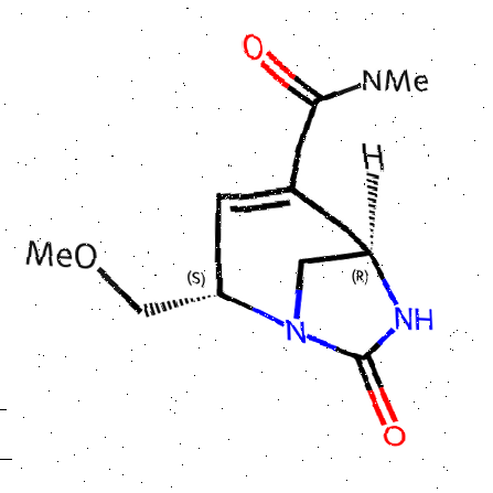 CNC(=O)C1=C[C@@H](COC)N2C[C@@H]1NC2=O